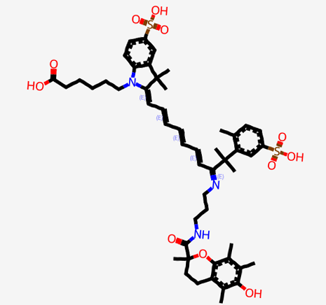 Cc1ccc(S(=O)(=O)O)cc1C(C)(C)C(/C=C/C=C/C=C/C=C1/N(CCCCCC(=O)O)c2ccc(S(=O)(=O)O)cc2C1(C)C)=N/CCCNC(=O)C1(C)CCc2c(C)c(O)c(C)c(C)c2O1